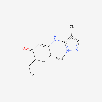 CCCCCn1ncc(C#N)c1NC1=CC(=O)C(CC(C)C)CC1